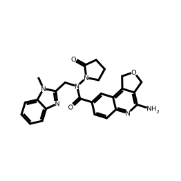 Cn1c(CN(C(=O)c2ccc3nc(N)c4c(c3c2)COC4)N2CCCC2=O)nc2ccccc21